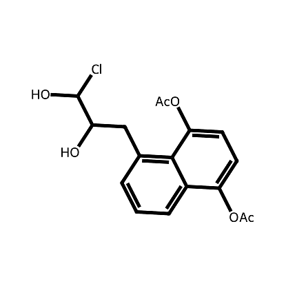 CC(=O)Oc1ccc(OC(C)=O)c2c(CC(O)C(O)Cl)cccc12